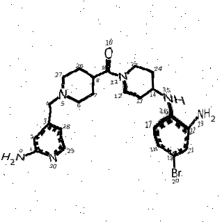 Nc1cc(CN2CCC(C(=O)N3CCC(Nc4ccc(Br)cc4N)CC3)CC2)ccn1